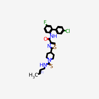 C/C=C/CNC(=S)N1CCC(c2nc(C(=O)Nc3ccc(F)cc3-c3ccc(Cl)cc3)cs2)CC1